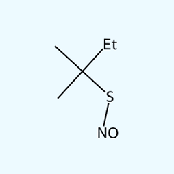 [CH2]CC(C)(C)SN=O